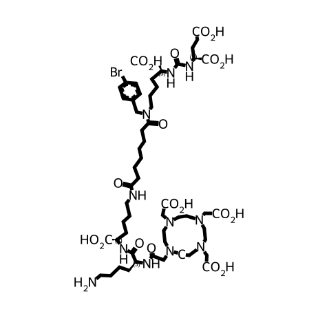 NCCCC[C@H](NC(=O)CN1CCN(CC(=O)O)CCN(CC(=O)O)CCN(CC(=O)O)CC1)C(=O)N[C@@H](CCCCNC(=O)CCCCCCC(=O)N(CCCC[C@H](NC(=O)N[C@@H](CCC(=O)O)C(=O)O)C(=O)O)Cc1ccc(Br)cc1)C(=O)O